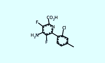 Cc1ccc(-c2nc(C(=O)O)c(F)c(N)c2F)c(Cl)c1